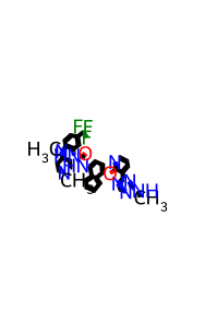 CNc1ncnc(-c2cccnc2Oc2ccc(NC(=O)Nc3cc(C(F)(F)F)ccc3N(C)C3CCN(C)CC3)c3ccccc23)n1